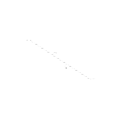 CCCCCCCCCCCCCCCCCCCCCCCCC(CCCCCCCCC(CCCCCCCCCCCCCCCCCCCCCCCC)CC(O)=S)CC(O)=S